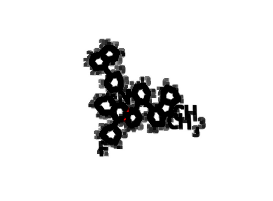 CC1(C)c2ccccc2-c2c(-c3cccc(N(c4ccc(-c5cccc6ccccc56)cc4)c4ccc(-c5ccc(F)cc5)c5ccccc45)c3-c3ccccc3)cccc21